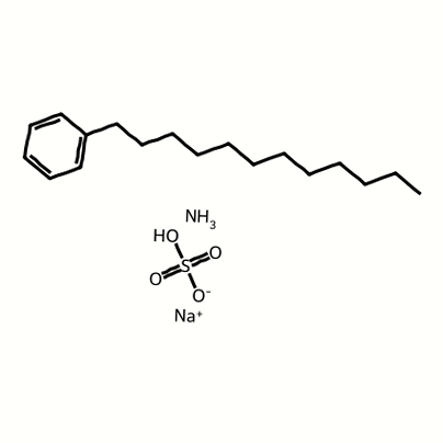 CCCCCCCCCCCCc1ccccc1.N.O=S(=O)([O-])O.[Na+]